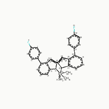 CC1=Cc2c(-c3ccc(F)cc3)cccc2[CH]1[Zr]([CH3])([CH3])(=[SiH2])[CH]1C(C)=Cc2c(-c3ccc(F)cc3)cccc21